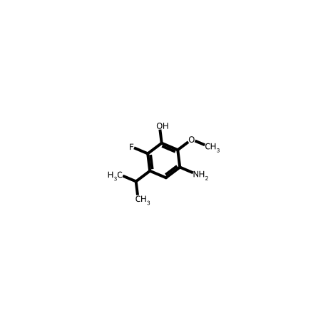 COc1c(N)cc(C(C)C)c(F)c1O